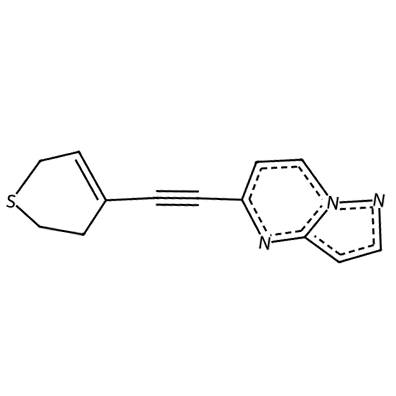 C(#Cc1ccn2nccc2n1)C1=CCSCC1